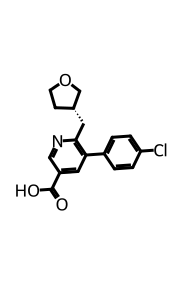 O=C(O)c1cnc(C[C@@H]2CCOC2)c(-c2ccc(Cl)cc2)c1